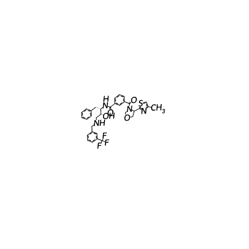 Cc1csc(C2COCN2C(=O)c2cccc(C(=O)N[C@@H](Cc3ccccc3)[C@H](O)CNCc3cccc(C(F)(F)F)c3)c2)n1